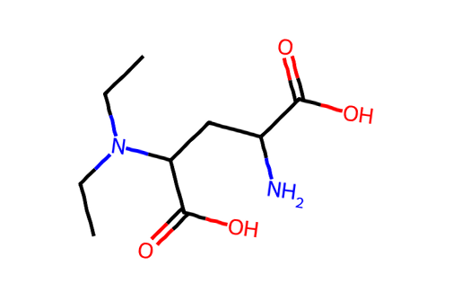 CCN(CC)C(CC(N)C(=O)O)C(=O)O